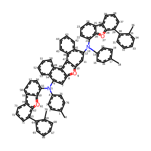 Cc1ccc(N(c2cc3oc4cc(N(c5ccc(C)cc5)c5cccc6c5oc5c(-c7ccccc7C)cccc56)c5ccccc5c4c3c3ccccc23)c2cccc3c2oc2c(-c4ccccc4C)cccc23)cc1